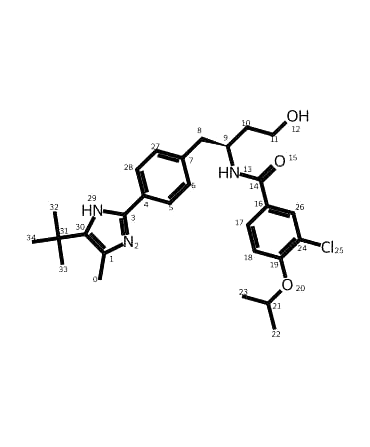 Cc1nc(-c2ccc(C[C@@H](CCO)NC(=O)c3ccc(OC(C)C)c(Cl)c3)cc2)[nH]c1C(C)(C)C